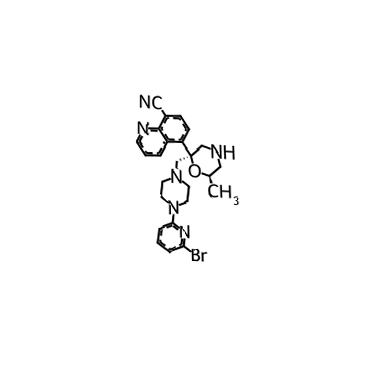 C[C@@H]1CNC[C@](CN2CCN(c3cccc(Br)n3)CC2)(c2ccc(C#N)c3ncccc23)O1